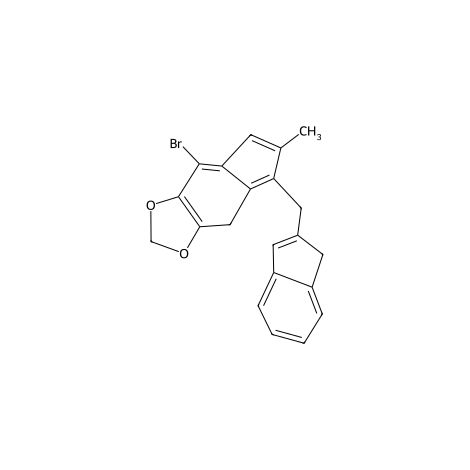 CC1=CC2=C(Br)C3=C(CC2=C1CC1=Cc2ccccc2C1)OCO3